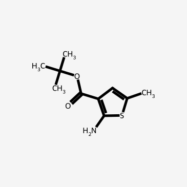 Cc1cc(C(=O)OC(C)(C)C)c(N)s1